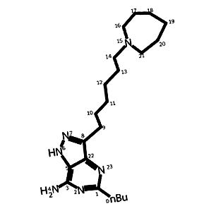 CCCCc1nc(N)c2[nH]nc(CCCCCCN3CCCCCC3)c2n1